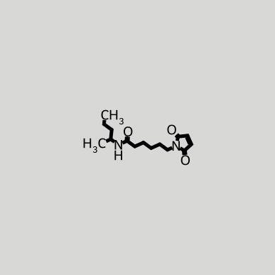 CCCC(C)NC(=O)CCCCCN1C(=O)C=CC1=O